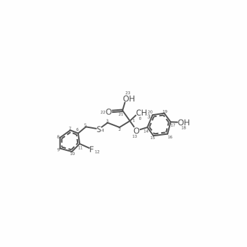 CC(CCSCc1ccccc1F)(Oc1ccc(O)cc1)C(=O)O